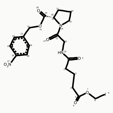 O=C(CCCC(=O)OCI)NCC(=O)N1CCC[C@H]1C(=O)OCc1ccc([N+](=O)[O-])cc1